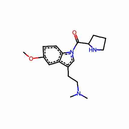 COc1ccc2c(c1)c(CCN(C)C)cn2C(=O)C1CCCN1